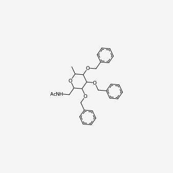 CC(=O)NCC1OC(C)C(OCc2ccccc2)C(OCc2ccccc2)C1OCc1ccccc1